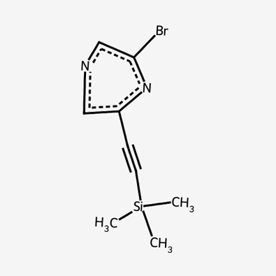 C[Si](C)(C)C#Cc1cncc(Br)n1